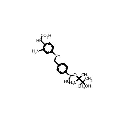 CC(C)(O)C(C)(C)OB(O)c1ccc(CNc2ccc(NC(=O)O)c(N)c2)cc1